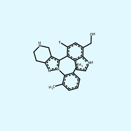 Cc1cccc(C)c1-n1nc2c(c1-c1c(F)cc(CO)c3[nH]ccc13)CNCC2